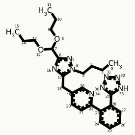 CCCCn1nc(C(OCCC)OCCC)nc1Cc1ccc(-c2ccccc2-c2nnn[nH]2)nc1